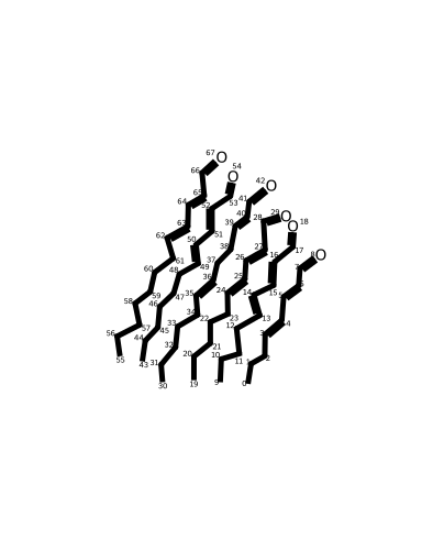 CCCC=CC=CC=O.CCCCC=CC=CC=O.CCCCCC=CC=CC=O.CCCCCC=CCCC=CC=O.CCCCCCC=CC=CC=O.CCCCCCCC=CC=CC=O